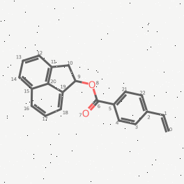 C=Cc1ccc(C(=O)OC2Cc3cccc4cccc2c34)cc1